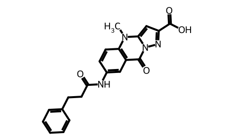 Cn1c2ccc(NC(=O)CCc3ccccc3)cc2c(=O)n2nc(C(=O)O)cc12